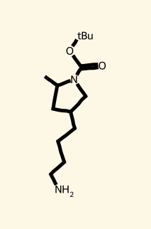 CC1CC(CCCCN)CN1C(=O)OC(C)(C)C